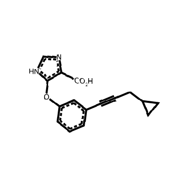 O=C(O)c1nc[nH]c1Oc1cccc(C#CCC2CC2)c1